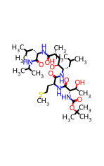 CSCC[C@H](NC(=O)[C@@H](NC(=O)OC(C)(C)C)[C@H](C)O)C(=O)N[C@@H](CC(C)C)[C@@H](O)C[C@@H](C)C(=O)N[C@@H](CC(C)C)C(=O)NC(C)C